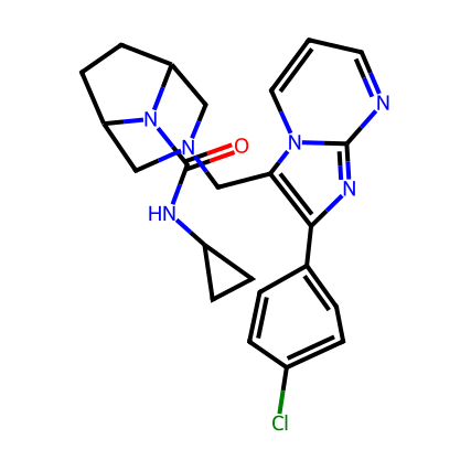 O=C(NC1CC1)N1C2CCC1CN(Cc1c(-c3ccc(Cl)cc3)nc3ncccn13)C2